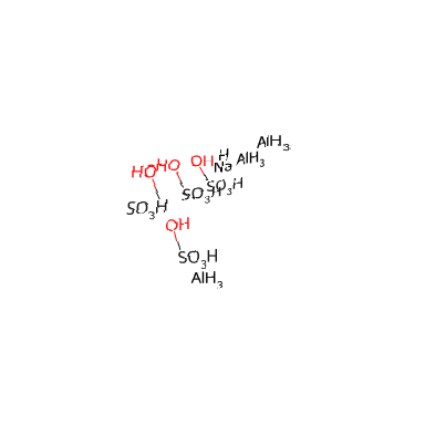 O=S(=O)(O)O.O=S(=O)(O)O.O=S(=O)(O)O.O=S(=O)(O)O.[AlH3].[AlH3].[AlH3].[NaH]